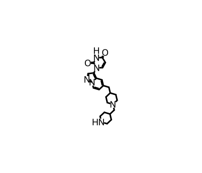 O=c1ccn(-c2cnn3ccc(CC4CCN(CC5CCNCC5)CC4)cc23)c(=O)[nH]1